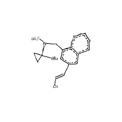 CC(C)(C)C1(N(Cc2cc(C=CC#N)cc3cccnc23)C(=O)O)CC1